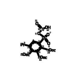 CCCCCCCCCCc1c(C(C)C)cc(S(=O)(=O)[O][Ti](=[O])[OH])c(CCCCCCCCCC)c1CCCCCCCCCC